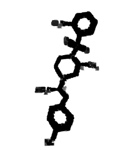 C[C@H]1CN([C@@H](Cc2ccc(C#N)cc2)C(=O)O)CCN1S(=O)(=O)c1ccccc1[N+](=O)[O-]